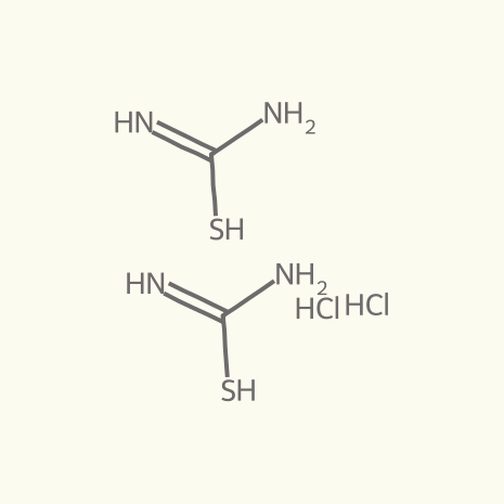 Cl.Cl.N=C(N)S.N=C(N)S